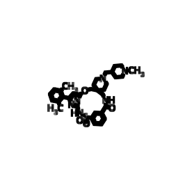 Cc1cccc(C)c1-c1cc2nc(n1)NS(=O)(=O)c1cccc(c1)C(=O)NCC1(CCN(CC3CCN(C)CC3)CC1)CO2